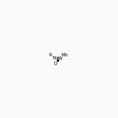 [K].[Na].[Nb].[O]=[W]